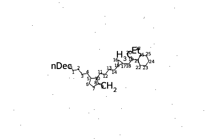 [CH2]CCCCCCCCCCCCCC1CCC(=C)C1CCCCC1CC1CC(C)C1CCCCC1C[CH2]